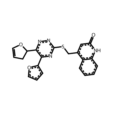 O=c1cc(CSc2nnc(C3CC=CO3)c(-c3ccco3)n2)c2ccccc2[nH]1